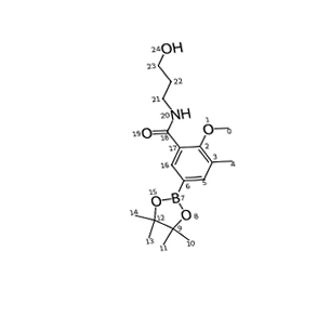 COc1c(C)cc(B2OC(C)(C)C(C)(C)O2)cc1C(=O)NCCCO